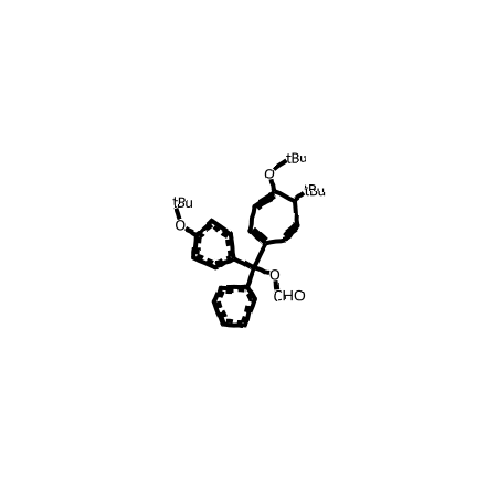 CC(C)(C)OC1=CC=C(C(OC=O)(c2ccccc2)c2ccc(OC(C)(C)C)cc2)C=CC1C(C)(C)C